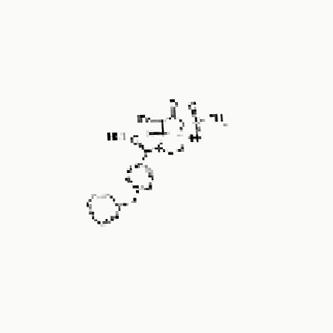 CC(C)[C@H]1C(=O)N(S(C)(=O)=O)[C@H]2CCN(C(=O)c3ccc(CN4C=CC=CC=C4)cc3)[C@H]12.Cl